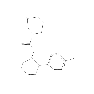 O=C(ON1CCNCC1c1cnc(Cl)nc1)N1CCCCC1